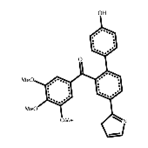 COc1cc(C(=O)c2cc(C3=NC=CC3)ccc2-c2ccc(O)cc2)cc(OC)c1OC